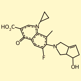 Cc1c(N2CC3=CCC(O)C3C2)c(F)cc2c(=O)c(C(=O)O)cn(C3CC3)c12